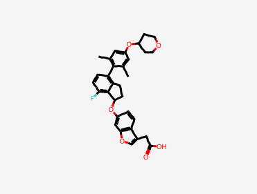 Cc1cc(OC2CCOCC2)cc(C)c1-c1ccc(F)c2c1CCC2Oc1ccc2c(CC(=O)O)coc2c1